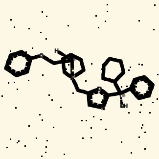 O[C@](c1ccccc1)(c1ncc(C[N+]23CCC(CC2)[C@@H](COc2ccccc2)C3)o1)C1CCCCC1